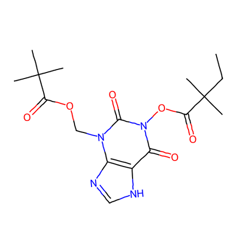 CCC(C)(C)C(=O)On1c(=O)c2[nH]cnc2n(COC(=O)C(C)(C)C)c1=O